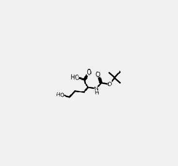 CC(C)(C)OC(=O)NC(CCCO)C(=O)O